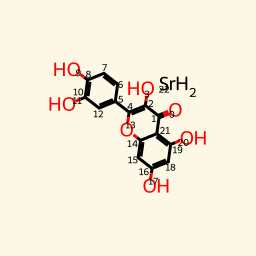 O=c1c(O)c(-c2ccc(O)c(O)c2)oc2cc(O)cc(O)c12.[SrH2]